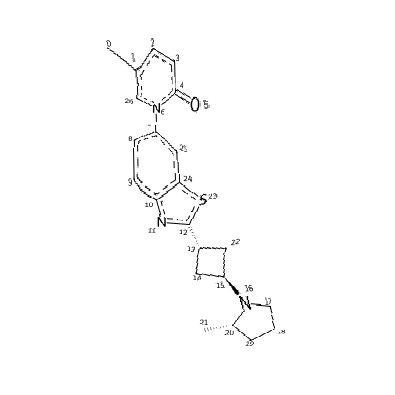 Cc1ccc(=O)n(-c2ccc3nc([C@H]4C[C@H](N5CCC[C@@H]5C)C4)sc3c2)c1